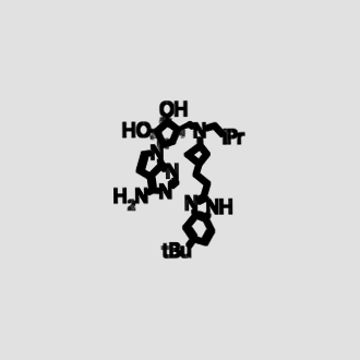 CC(C)CN(C[C@H]1C[C@@H](n2ccc3c(N)ncnc32)[C@H](O)[C@@H]1O)C1CC(CCc2nc3cc(C(C)(C)C)ccc3[nH]2)C1